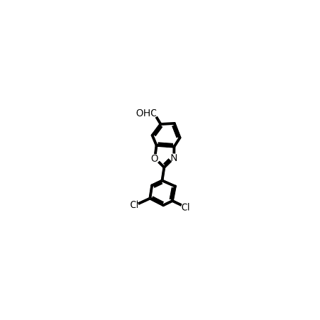 O=Cc1ccc2nc(-c3cc(Cl)cc(Cl)c3)oc2c1